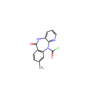 Cc1ccc2c(c1)N(C(=O)Cl)c1ncccc1NC2=O